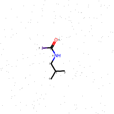 CC(C)CNC(=O)I